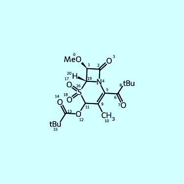 CO[C@H]1C(=O)N2C(C(=O)C(C)(C)C)=C(C)C(OC(=O)C(C)(C)C)S(=O)(=O)[C@H]12